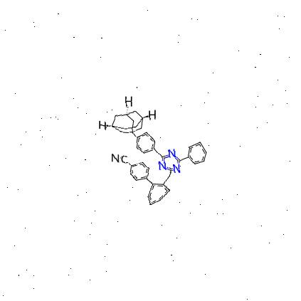 N#Cc1ccc(-c2ccccc2-c2nc(-c3ccccc3)nc(-c3ccc(C45C[C@H]6C[C@@H](C4)C[C@@H](C5)C6)cc3)n2)cc1